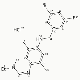 CCN(C)/C=N\c1cc(C)c(NCc2cc(F)cc(F)c2)cc1C.Cl